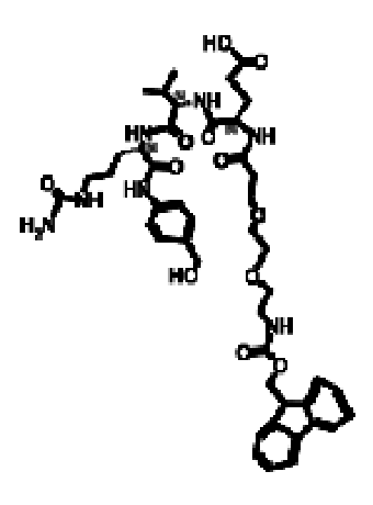 CC(C)[C@H](NC(=O)[C@@H](CCC(=O)O)NC(=O)CCOCCOCCNC(=O)OCC1c2ccccc2-c2ccccc21)C(=O)N[C@@H](CCCNC(N)=O)C(=O)Nc1ccc(CO)cc1